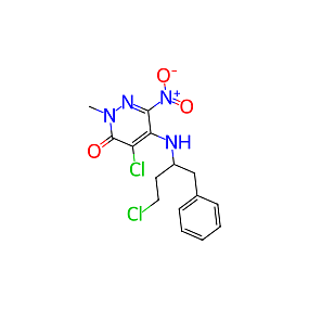 Cn1nc([N+](=O)[O-])c(NC(CCCl)Cc2ccccc2)c(Cl)c1=O